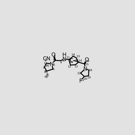 N#C[C@H]1C[C@@H](F)CN1C(=O)CNC12CCC(C(=O)N3CCC(F)C3)(CC1)CC2